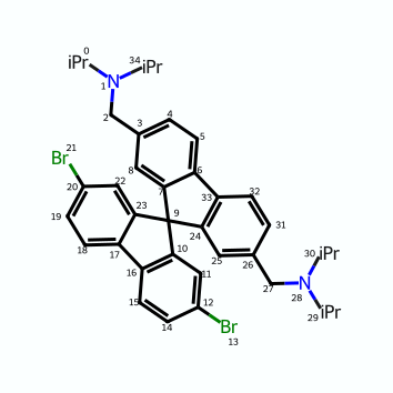 CC(C)N(Cc1ccc2c(c1)C1(c3cc(Br)ccc3-c3ccc(Br)cc31)c1cc(CN(C(C)C)C(C)C)ccc1-2)C(C)C